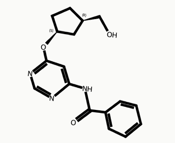 O=C(Nc1cc(O[C@H]2CC[C@@H](CO)C2)ncn1)c1ccccc1